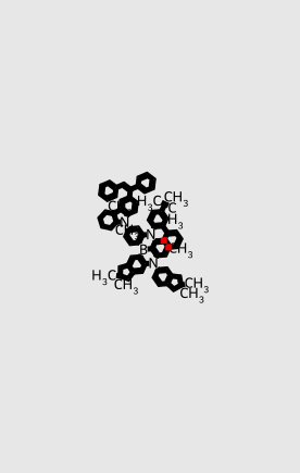 Cc1cc2c3c(c1)N(c1ccc(C(C)(C)C)cc1-c1ccccc1)c1cc(N4c5ccc(/C(=C\c6ccccc6)c6ccccc6)cc5C5(C)CCCCC45C)ccc1B3c1cc3c(cc1N2c1ccc2c(c1)CC(C)(C)C2)CC(C)(C)C3